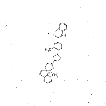 Cc1cc(C(=O)Nc2ccccc2F)ccc1C1CCC(N2CCC3(C=Cc4ccccc43)[C@@H](C)C2)C1